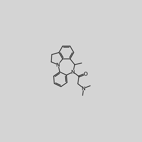 CC1c2cccc3c2N(CC3)c2ccccc2N1C(=O)CN(C)C